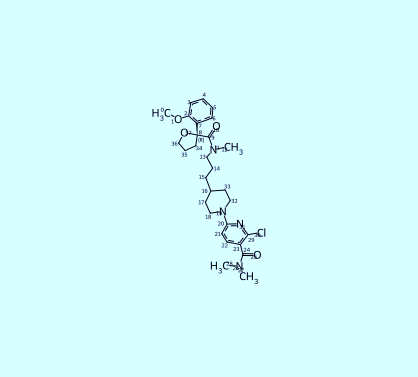 COc1ccccc1[C@@]1(C(=O)N(C)CCCC2CCN(c3ccc(C(=O)N(C)C)c(Cl)n3)CC2)CCCO1